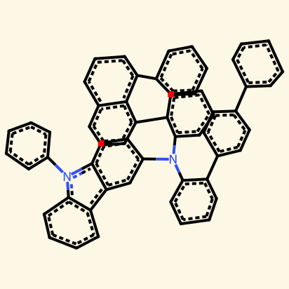 c1ccc(-c2ccc(-c3ccccc3N(c3ccc4c(c3)c3ccccc3n4-c3ccccc3)c3ccccc3-c3cccc4cccc(-c5ccccc5)c34)cc2)cc1